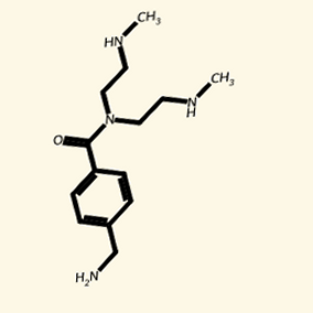 CNCCN(CCNC)C(=O)c1ccc(CN)cc1